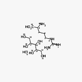 Cl.N=C(N)NCCCC(N)C(=O)O.OCC(O)C(O)C(O)CO